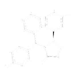 O=C1NC[C@H](c2cccc(C(F)(F)F)c2)N1C(c1ccc(Cl)cc1)c1cccnc1